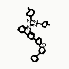 Cc1ccc(-c2nc(-c3ccc(C)cc3)nc(-n3c4ccccc4c4ccc(-c5ccc6oc7ccc(-c8ccccc8)cc7c6c5)cc43)n2)cc1